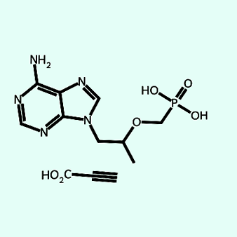 C#CC(=O)O.CC(Cn1cnc2c(N)ncnc21)OCP(=O)(O)O